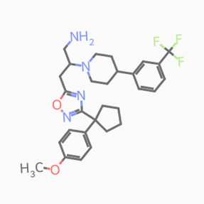 COc1ccc(C2(c3noc(CC(CN)N4CCC(c5cccc(C(F)(F)F)c5)CC4)n3)CCCC2)cc1